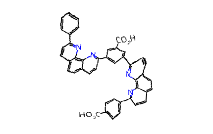 O=C(O)c1ccc(-c2ccc3ccc4ccc(-c5cc(C(=O)O)cc(-c6ccc7ccc8ccc(-c9ccccc9)nc8c7n6)c5)nc4c3n2)cc1